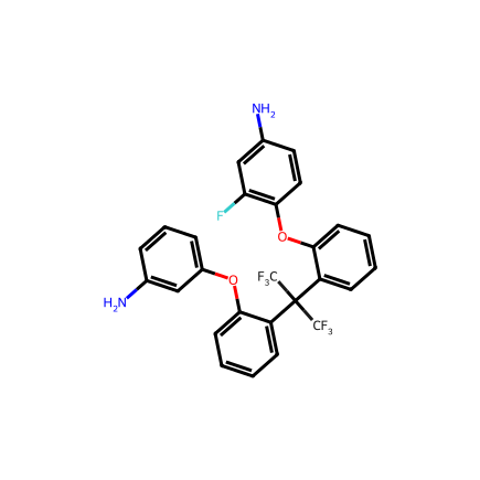 Nc1cccc(Oc2ccccc2C(c2ccccc2Oc2ccc(N)cc2F)(C(F)(F)F)C(F)(F)F)c1